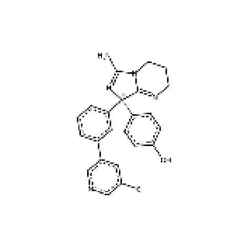 NC1=N[C@](c2ccc(O)cc2)(c2cccc(-c3cncc(Cl)c3)c2)C2=NCCCN12